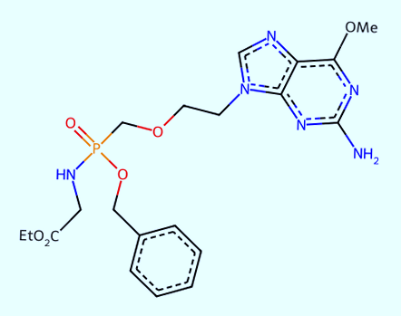 CCOC(=O)CNP(=O)(COCCn1cnc2c(OC)nc(N)nc21)OCc1ccccc1